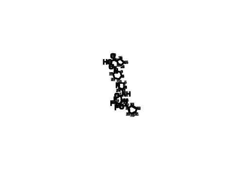 O=C(Nc1ccc(C2CCN(C(=O)[C@H]3CCC[C@@H]3C(=O)O)CC2)nc1)c1nc(-c2ccccc2)oc1C(F)(F)F